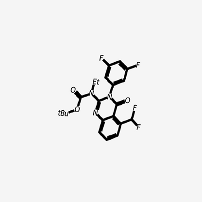 CCN(C(=O)OC(C)(C)C)c1nc2cccc(C(F)F)c2c(=O)n1-c1cc(F)cc(F)c1